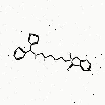 O=C1c2ccccc2C[N+]1([O-])CCOCC(F)CNC(c1ccccc1)c1ccccc1